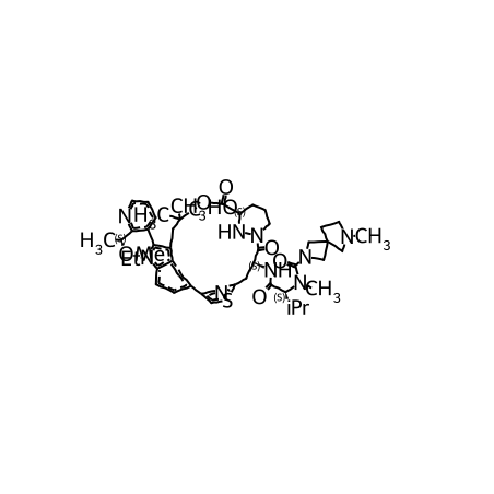 CCn1c(-c2cccnc2[C@H](C)OC)c2c3cc(ccc31)-c1csc(n1)C[C@H](NC(=O)[C@H](C(C)C)N(C)C(=O)N1CC3(CCN(C)C3)C1)C(=O)N1CCC[C@@](O)(N1)C(=O)OCC(C)(C)C2